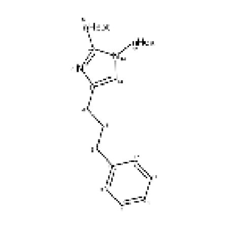 CCCCCCCc1nc(CCCc2ccccc2)cn1CCCCCC